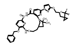 CC1(C)CC2CCCNc3nc(ccc3OCc3ccccc3)[S+]([O-])NC(=O)c3ccc(-n4ccc(OCCCC5(C(F)(F)F)CC5)n4)nc3N1C2